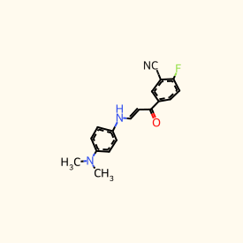 CN(C)c1ccc(NC=CC(=O)c2ccc(F)c(C#N)c2)cc1